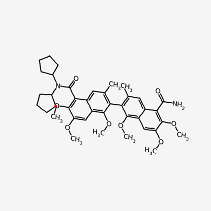 COc1cc2c(OC)c(-c3c(C)cc4c(C(=O)N(C5CCCC5)C5CCCC5)c(OC)c(OC)cc4c3OC)c(C)cc2c(C(N)=O)c1OC